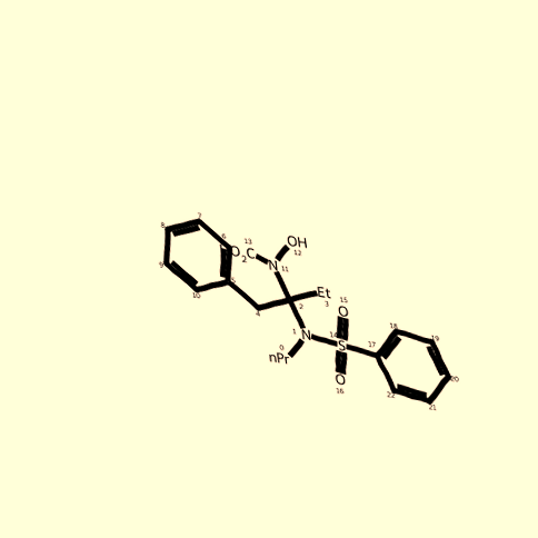 CCCN(C(CC)(Cc1ccccc1)N(O)C(=O)O)S(=O)(=O)c1ccccc1